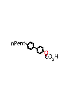 CCCCCc1ccc(-c2ccc(OC(=O)O)cc2)cc1